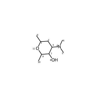 CC1CC(N(C)C)C(O)C(C)O1